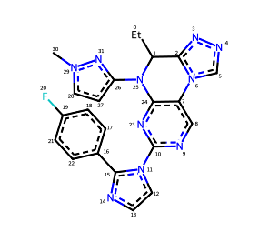 CCC1c2nncn2-c2cnc(-n3ccnc3-c3ccc(F)cc3)nc2N1c1ccn(C)n1